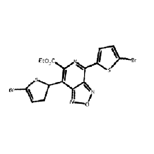 CCOC(=O)c1nc(-c2ccc(Br)s2)c2nonc2c1C1CC=C(Br)S1